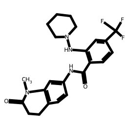 CN1C(=O)CCc2ccc(NC(=O)c3ccc(C(F)(F)F)cc3NN3CCCCC3)cc21